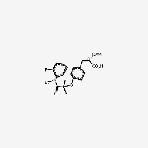 CCN(C(=O)C(C)(C)Oc1ccc(C[C@H](OC)C(=O)O)cc1)c1ccccc1F